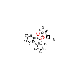 CC1=CCCC12O[C@@H](c1ccccc1)[C@H](c1ccccc1)O2